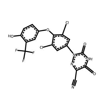 N#Cc1nn(-c2cc(Cl)c(Oc3ccc(O)c(C(F)(F)F)c3)c(Cl)c2)c(=O)[nH]c1=O